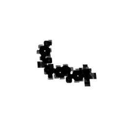 COc1ccc(CC(=O)Nc2nc(-c3ccc4c(c3)CCN4C(=O)c3ccc(C4(C(F)(F)F)NN4)cc3)c(C)s2)cc1